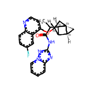 CC(C(=O)Nc1nc2ccccn2n1)[C@@H]1C2[C@H](Oc3ccnc4ccc(F)cc34)C[C@]13C[C@@H]23